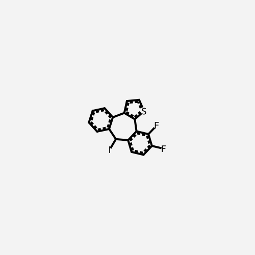 Fc1ccc2c(c1F)-c1sccc1-c1ccccc1C2I